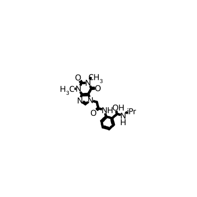 CC(C)NC(O)c1ccccc1NC(=O)Cn1cnc2c1c(=O)n(C)c(=O)n2C